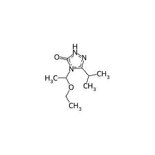 CCOC(C)n1c(C(C)C)n[nH]c1=O